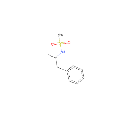 CCCCS(=O)(=O)NC(C)Cc1ccccc1